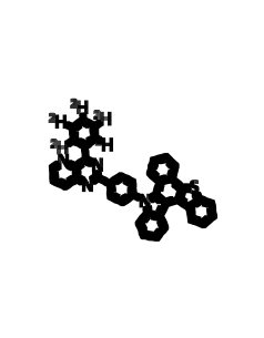 [2H]c1c([2H])c([2H])c(-c2nc(-c3ccc(-n4c5ccccc5c5c6c7ccccc7sc6c6ccccc6c54)cc3)nc3cccnc23)c([2H])c1[2H]